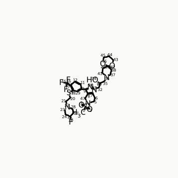 CS(=O)(=O)N1CCc2c(c(-c3ccc(C(F)(F)F)c(SCCN4CCC(F)CC4)c3)nn2C[C@@H](O)CN2CCC3(CC2)OCCCO3)C1